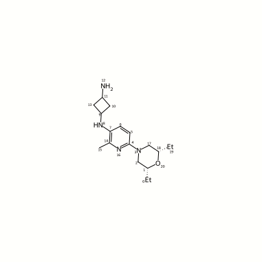 CC[C@@H]1CN(c2ccc(NC3CC(N)C3)c(C)n2)C[C@H](CC)O1